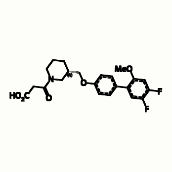 COc1cc(F)c(F)cc1-c1ccc(OC[C@H]2CCCN(C(=O)CC(=O)O)C2)cc1